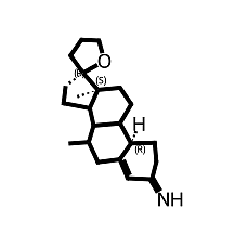 CC1CC2=CC(=N)CC[C@@H]2C2CC[C@@]3(C)C(CC[C@@]34CCCO4)C12